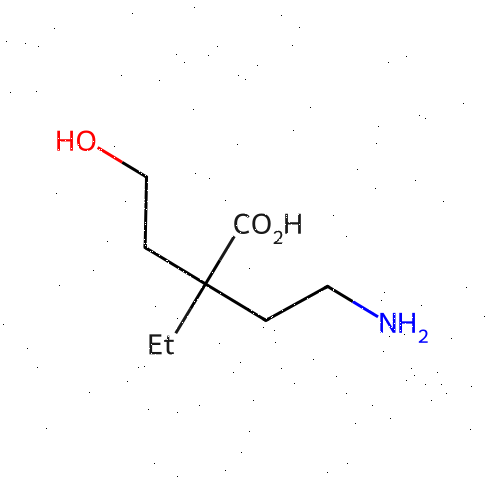 CCC(CCN)(CCO)C(=O)O